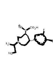 CC(C)(C)N(C(=O)O)[C@@H]1CN(C(CO)C(F)(F)F)C[C@H]1c1ccc(F)c(F)c1